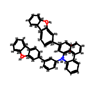 c1ccc(-c2ccccc2N(c2cccc(-c3ccc4c(c3)oc3ccccc34)c2)c2cccc(-c3ccc4c(c3)oc3ccccc34)c2)cc1